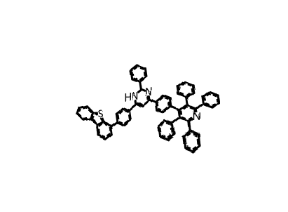 C1=C(c2ccc(-c3cccc4c3sc3ccccc34)cc2)NC(c2ccccc2)N=C1c1ccc(-c2c(-c3ccccc3)c(-c3ccccc3)nc(-c3ccccc3)c2-c2ccccc2)cc1